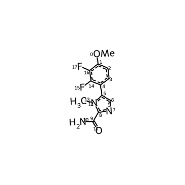 COc1ccc(-c2cnc(C(N)=O)n2C)c(F)c1F